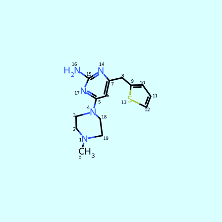 CN1CCN(c2cc(Cc3cccs3)nc(N)n2)CC1